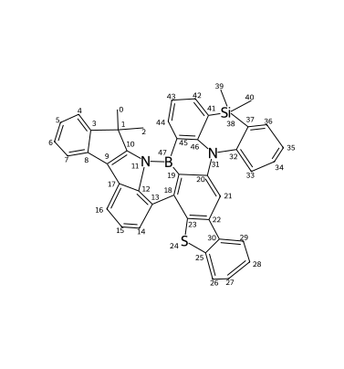 CC1(C)c2ccccc2-c2c1n1c3c(cccc23)-c2c3c(cc4c2sc2ccccc24)N2c4ccccc4[Si](C)(C)c4cccc(c42)B31